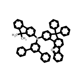 CC1(C)c2ccccc2-c2ccc(N(c3cc(-c4ccccc4)cc(-c4ccccc4)c3)c3ccc4c(c3)-c3c(ccc5c3oc3ccccc35)C4(c3ccccc3)c3ccccc3)cc21